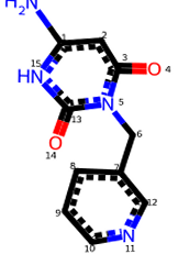 Nc1cc(=O)n(Cc2cccnc2)c(=O)[nH]1